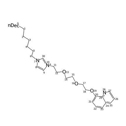 CCCCCCCCCCCCCCCCn1cc[n+](CCOCCOCCOc2cccc3cccnc23)c1